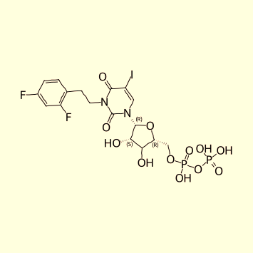 O=c1c(I)cn([C@@H]2O[C@H](COP(=O)(O)OP(=O)(O)O)C(O)[C@@H]2O)c(=O)n1CCc1ccc(F)cc1F